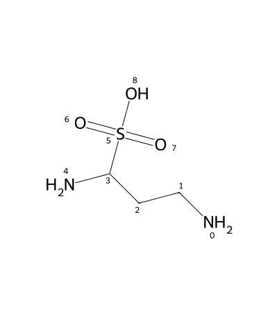 NCCC(N)S(=O)(=O)O